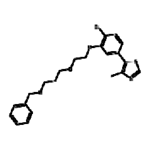 CCc1ccc(-c2scnc2C)cc1OCCOCCCOCc1ccccc1